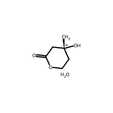 C[C@@]1(O)CCOC(=O)C1.O